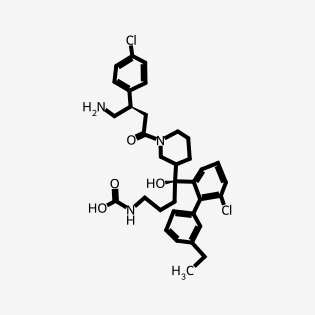 CCc1cccc(-c2c(Cl)cccc2[C@](O)(CCCNC(=O)O)C2CCCN(C(=O)C[C@@H](CN)c3ccc(Cl)cc3)C2)c1